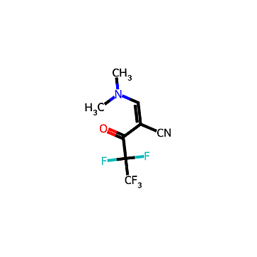 CN(C)C=C(C#N)C(=O)C(F)(F)C(F)(F)F